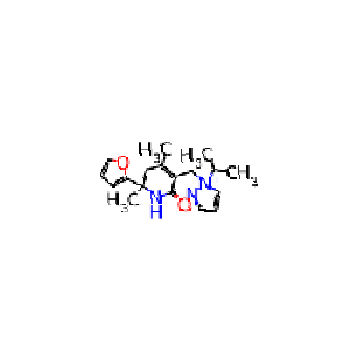 CC1=C(C[N+]2(C(C)C)C=CC=N2)C(=O)NC(C)(c2ccco2)C1